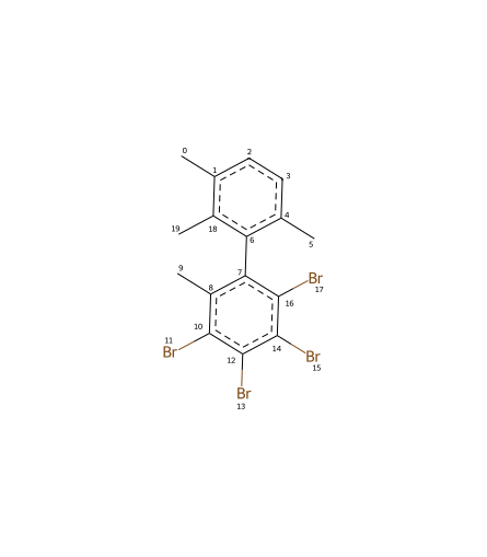 Cc1ccc(C)c(-c2c(C)c(Br)c(Br)c(Br)c2Br)c1C